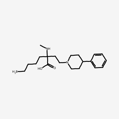 BCCCCC(CCN1CCC(c2ccccc2)CC1)(NC)C(=O)O